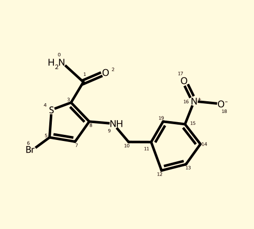 NC(=O)c1sc(Br)cc1NCc1cccc([N+](=O)[O-])c1